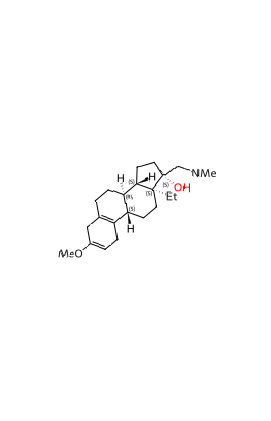 CC[C@]12CC[C@@H]3C4=C(CC[C@H]3[C@@H]1CC[C@@]2(O)CNC)CC(OC)=CC4